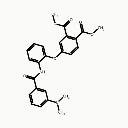 COC(=O)c1ccc(Oc2ccccc2NC(=O)c2cccc(N(C)C)c2)cc1C(=O)OC